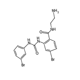 NCCNC(=O)c1ccc(Br)cc1NC(=O)Nc1cccc(Br)c1